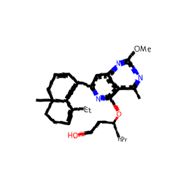 CCCC(CCO)Oc1nc(C2=C3C(CC)=CCCC3(C)CC=C2)cc2nc(OC)nc(C)c12